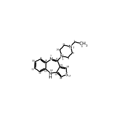 CCN1CCN(C2=Nc3ccccc3Nc3cscc32)CC1